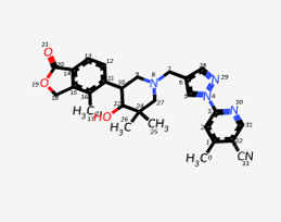 Cc1cc(-n2cc(CN3CC(c4ccc5c(c4C)COC5=O)C(O)C(C)(C)C3)cn2)ncc1C#N